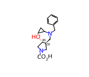 O=C(O)N1C[C@H](CN(Cc2ccccc2)C2CC2)[C@@H](O)C1